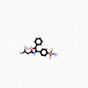 CCC(Cc1nc(-c2ccc(S(N)(=O)=O)cc2)c(-c2ccccc2)o1)C(=O)O